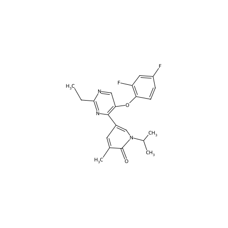 CCc1ncc(Oc2ccc(F)cc2F)c(-c2cc(C)c(=O)n(C(C)C)c2)n1